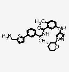 Cc1ccc(Nc2cnn(C3CCCCO3)c2)cc1C(=O)N[C@H](C)c1cccc(-c2ccc(CN)s2)c1